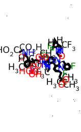 Cc1cc(CC(=O)N[C@@H](CC(=O)O)C(=O)O)c(C(C)(C)CC(=O)N(c2nn(CC(F)(F)F)c3c(-c4ccc(CCC(C)(C)S(C)(=O)=O)nc4[C@H](Cc4cc(F)cc(F)c4)NC(=O)Cn4nc(C(F)(F)F)c5c4C(F)(F)[C@@H]4C[C@H]54)ccc(Cl)c23)S(C)(=O)=O)c(OP(=O)(O)O)c1